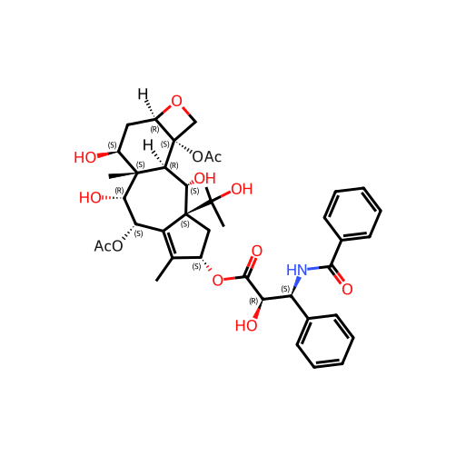 CC(=O)O[C@H]1C2=C(C)[C@@H](OC(=O)[C@H](O)[C@@H](NC(=O)c3ccccc3)c3ccccc3)C[C@@]2(C(C)(C)O)[C@@H](O)[C@@H]2[C@]3(OC(C)=O)CO[C@@H]3C[C@H](O)[C@@]2(C)[C@H]1O